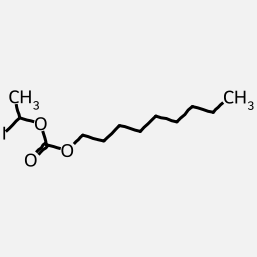 CCCCCCCCCOC(=O)OC(C)I